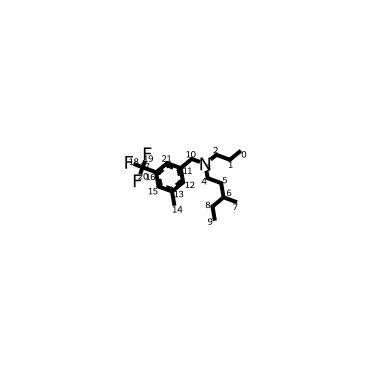 CCCN(CCC(C)CC)Cc1cc(C)cc(C(F)(F)F)c1